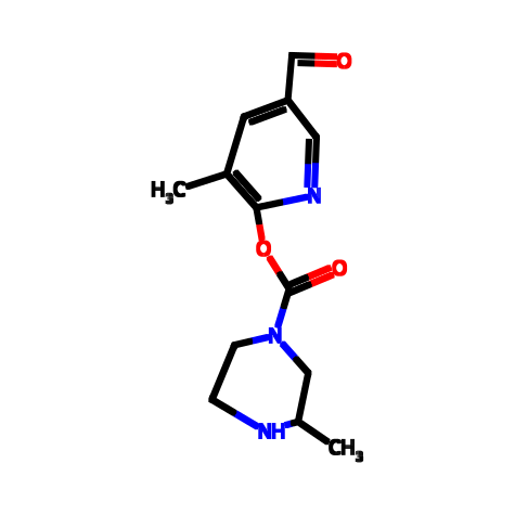 Cc1cc(C=O)cnc1OC(=O)N1CCNC(C)C1